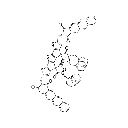 O=C1Cc2cc3cc4ccccc4cc3cc2C(=O)/C1=C\c1cc2c(s1)-c1sc3c(c1C2(C(=O)OCc1ccccc1)C(=O)OCc1ccccc1)C(C(=O)OCc1ccccc1)(C(=O)OCc1ccccc1)c1cc(C=C2C(=O)c4cc5cc6ccccc6cc5cc4C2=O)sc1-3